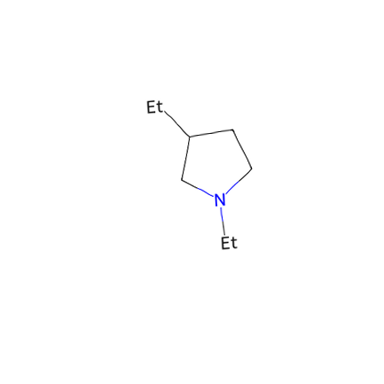 [CH2]CN1CCC(CC)C1